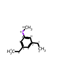 CCc1cc(CC)cc([I]C)c1